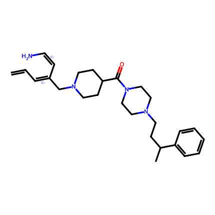 C=C/C=C(\C=C/N)CN1CCC(C(=O)N2CCN(CCC(C)c3ccccc3)CC2)CC1